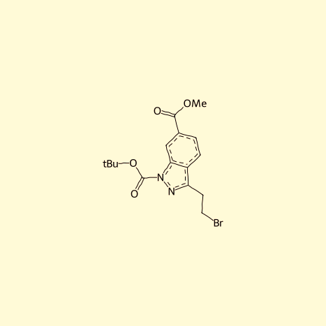 COC(=O)c1ccc2c(CCBr)nn(C(=O)OC(C)(C)C)c2c1